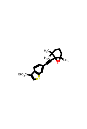 CCOC(=O)c1csc2cc(C#CC34OC3(C)CCCC4(C)C)ccc12